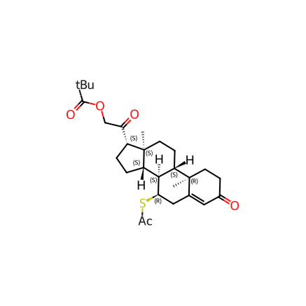 CC(=O)S[C@@H]1CC2=CC(=O)CC[C@]2(C)[C@H]2CC[C@]3(C)[C@@H](C(=O)COC(=O)C(C)(C)C)CC[C@H]3[C@H]12